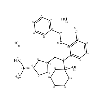 CN(C)[C@H]1CCN(CC(c2cccc(Cl)c2OCc2ccccc2)C2(O)CCCCC2)C1.Cl.Cl